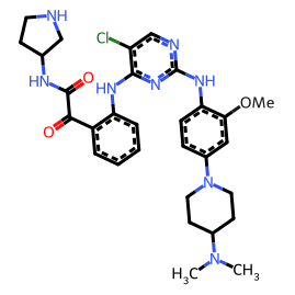 COc1cc(N2CCC(N(C)C)CC2)ccc1Nc1ncc(Cl)c(Nc2ccccc2C(=O)C(=O)NC2CCNC2)n1